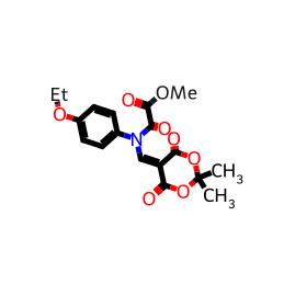 CCOc1ccc(N(C=C2C(=O)OC(C)(C)OC2=O)C(=O)C(=O)OC)cc1